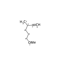 C#CC(C)CCCO[CH2]